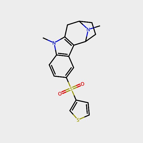 CN1C2CCC1c1c(n(C)c3ccc(S(=O)(=O)c4ccsc4)cc13)C2